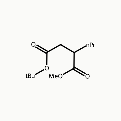 CCCC(CC(=O)OC(C)(C)C)C(=O)OC